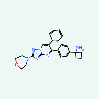 NC1(c2ccc(-c3nc4nc(N5CCOCC5)nn4cc3-c3ccccc3)cc2)CCC1